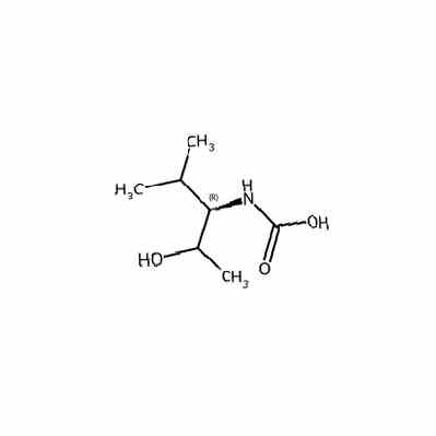 CC(C)[C@@H](NC(=O)O)C(C)O